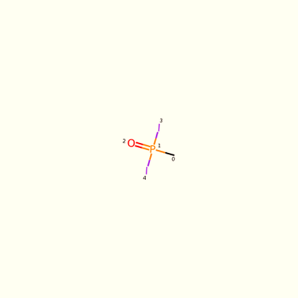 CP(=O)(I)I